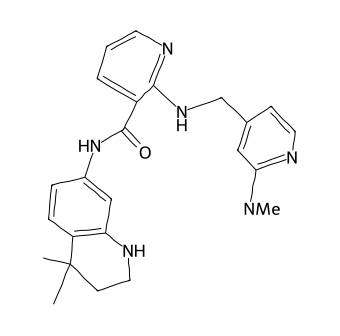 CNc1cc(CNc2ncccc2C(=O)Nc2ccc3c(c2)NCCC3(C)C)ccn1